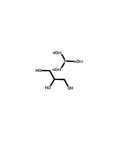 CCCCCCCCP(CCCCCCCC)CCCCCCCC.OCC(O)CO